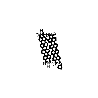 O=C1NC(=O)c2ccc3c4ccc5c6c(-c7cc8c9ccc%10c%11c(ccc(c%12ccc%13c%14ccc%15c%16ccc%17c%18c(ccc(c%19ccc(c7c%13c%128)c%14c%15%19)c%16%18)c(=O)n7c8ccccc8nc%177)c%119)C(=O)NC%10=O)cc7c8ccc9c%10c(ccc(c%11ccc(c%12ccc(c%13ccc1c2c%133)c4c%125)c6c%117)c%108)C(=O)NC9=O